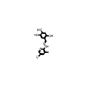 Oc1cc(O)c(C=NNc2ncc(Cl)cc2I)cc1O